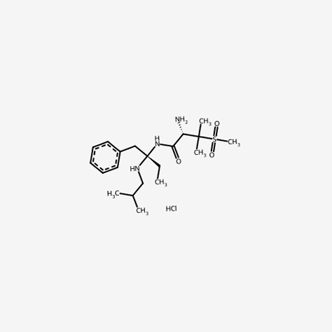 CC[C@](Cc1ccccc1)(NCC(C)C)NC(=O)[C@H](N)C(C)(C)S(C)(=O)=O.Cl